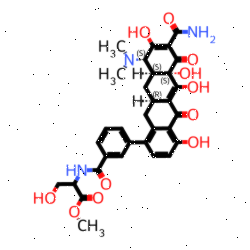 COC(=O)C(CO)NC(=O)c1cccc(-c2ccc(O)c3c2C[C@H]2C[C@H]4[C@H](N(C)C)C(O)=C(C(N)=O)C(=O)[C@@]4(O)C(O)=C2C3=O)c1